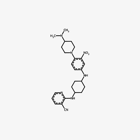 CN(C)C1CCN(c2ccc(NC3CCC(Nc4ncccc4C#N)CC3)cc2[N+](=O)[O-])CC1